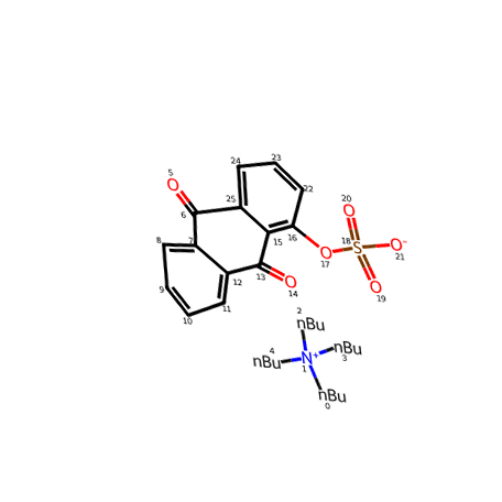 CCCC[N+](CCCC)(CCCC)CCCC.O=C1c2ccccc2C(=O)c2c(OS(=O)(=O)[O-])cccc21